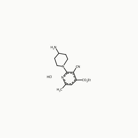 CCOC(=O)c1cc(C)nc(N2CCC(N)CC2)c1C#N.Cl